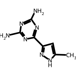 Cc1cc(-c2nc(N)nc(N)n2)n[nH]1